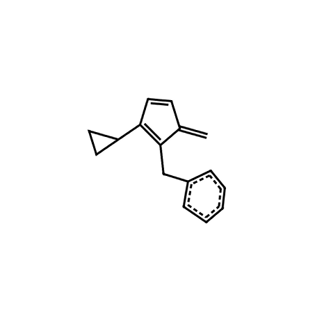 C=C1C=CC(C2CC2)=C1Cc1ccccc1